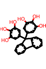 Oc1cc(C2(c3cc(O)c(O)c(O)c3)c3ccccc3-c3ccccc32)cc(O)c1O